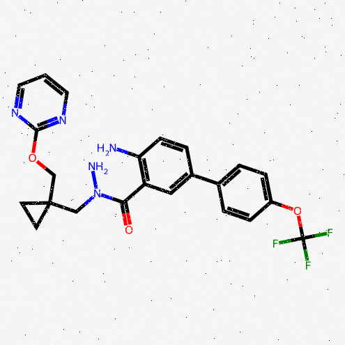 Nc1ccc(-c2ccc(OC(F)(F)F)cc2)cc1C(=O)N(N)CC1(COc2ncccn2)CC1